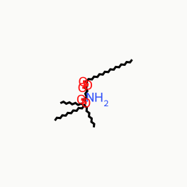 CCCCCCCCCCCCCCCCCC(=O)OC(=O)CC[C@H](N)C(=O)OC(CCCCCCCC)(CCCCCCCC)CCCCCCCCCCC